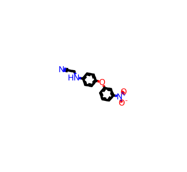 N#CCNc1ccc(Oc2cccc([N+](=O)[O-])c2)cc1